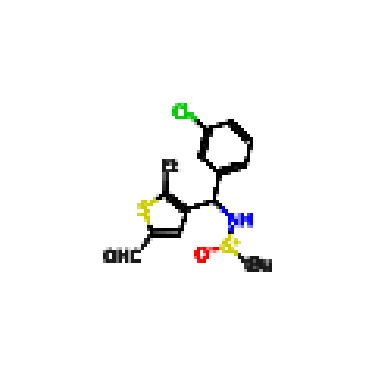 CCc1sc(C=O)cc1C(N[S+]([O-])C(C)(C)C)c1cccc(Cl)c1